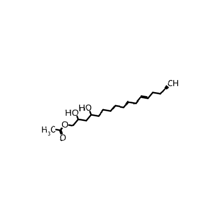 C#CCC/C=C/CCCCCCCC(O)CC(O)COC(C)=O